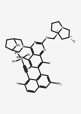 COc1c(F)c(-c2cc(N)cc3ccc(F)c(C#C[Si](C(C)C)(C(C)C)C(C)C)c23)c(F)c2nc(OC[C@@]34CCCN3C[C@H](F)C4)nc(N3CC4CCC(C3)N4)c12